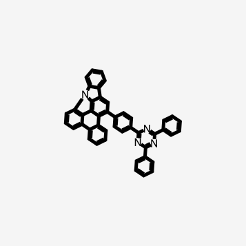 c1ccc(-c2nc(-c3ccccc3)nc(-c3ccc(-c4cc5c6ccccc6n6c7cccc8c9ccccc9c4c(c87)c56)cc3)n2)cc1